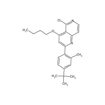 CCCCOc1cc(-c2ccc(C(C)(C)C)cc2C)nc2ccnc(Cl)c12